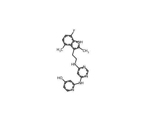 Cc1[nH]c2c(F)ccc(C)c2c1CCNc1cc(Nc2cc(O)ccn2)ncn1